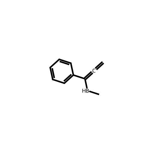 C=C=C(BC)c1ccccc1